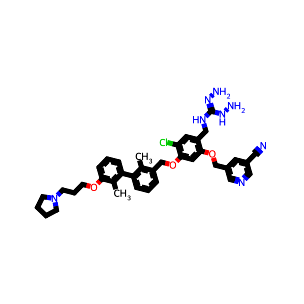 Cc1c(COc2cc(OCc3cncc(C#N)c3)c(CN/C(=N/N)NN)cc2Cl)cccc1-c1cccc(OCCCN2CCCC2)c1C